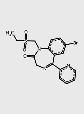 CCS(=O)(=O)CN1C(=O)CN=C(c2ccccn2)c2cc(Br)ccc21